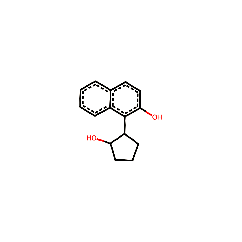 Oc1ccc2ccccc2c1C1CCCC1O